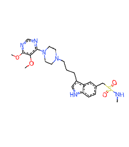 CNS(=O)(=O)Cc1ccc2[nH]cc(CCCN3CCN(c4ncnc(OC)c4OC)CC3)c2c1